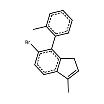 CC1=CCc2c1ccc(Br)c2-c1ccccc1C